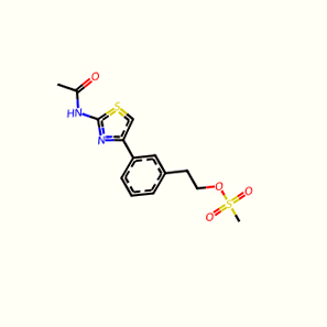 CC(=O)Nc1nc(-c2cccc(CCOS(C)(=O)=O)c2)cs1